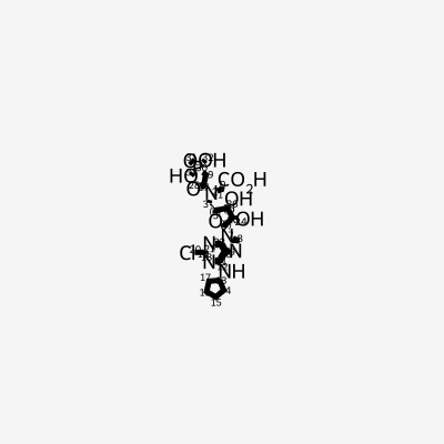 O=C(O)CN(C[C@H]1O[C@@H](n2cnc3c(NC4CCCC4)nc(Cl)nc32)[C@H](O)[C@@H]1O)C(=O)CP(=O)(O)O